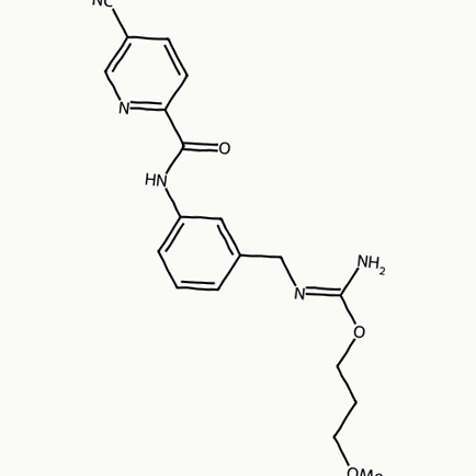 COCCCO/C(N)=N/Cc1cccc(NC(=O)c2ccc(C#N)cn2)c1